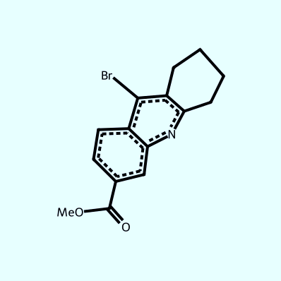 COC(=O)c1ccc2c(Br)c3c(nc2c1)CCCC3